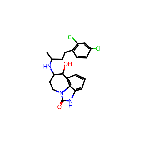 CC(CCc1ccc(Cl)cc1Cl)NC1CCn2c(=O)[nH]c3cccc(c32)C1O